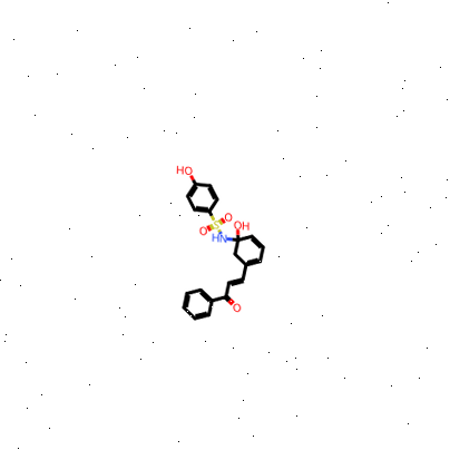 O=C(C=CC1=CC=CC(O)(NS(=O)(=O)c2ccc(O)cc2)C1)c1ccccc1